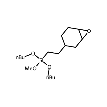 CCCCO[Si](CCC1CCC2OC2C1)(OC)OCCCC